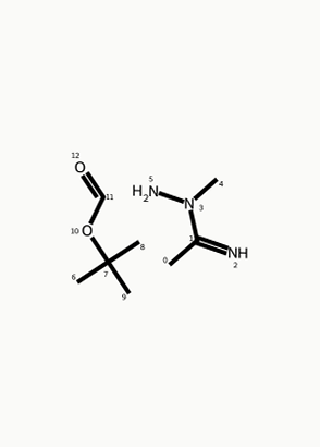 CC(=N)N(C)N.CC(C)(C)OC=O